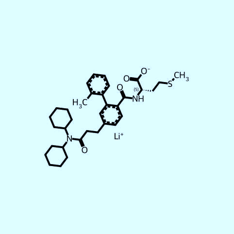 CSCC[C@H](NC(=O)c1ccc(CCC(=O)N(C2CCCCC2)C2CCCCC2)cc1-c1ccccc1C)C(=O)[O-].[Li+]